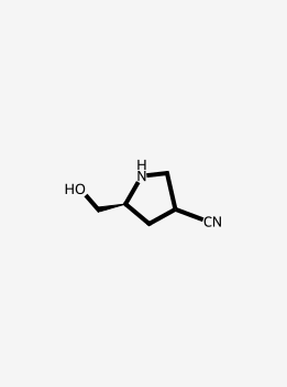 N#CC1CN[C@H](CO)C1